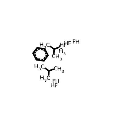 CC(C)C.CC(C)C.F.F.F.F.F.c1ccccc1